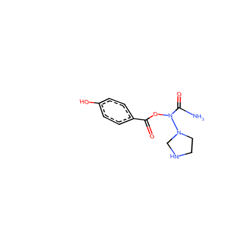 NC(=O)N(OC(=O)c1ccc(O)cc1)N1CCNC1